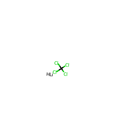 ClC(Cl)(Cl)Cl.[LiH]